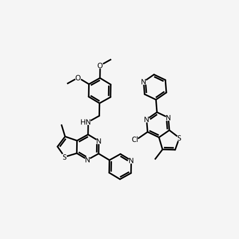 COc1ccc(CNc2nc(-c3cccnc3)nc3scc(C)c23)cc1OC.Cc1csc2nc(-c3cccnc3)nc(Cl)c12